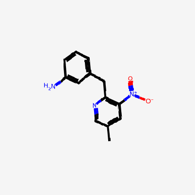 Cc1cnc(Cc2cccc(N)c2)c([N+](=O)[O-])c1